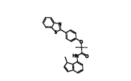 CC1C=Cc2cccc(NC(=O)C(C)(C)Oc3ccc(-c4nc5ccccc5s4)cc3)c21